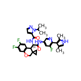 Cc1c[nH]c(C)c1-c1ncc(NC(=O)[C@@H](NC(=O)c2ccnn2C(C)C)C2c3cc(F)c(F)cc3OCC23CC3)cc1F